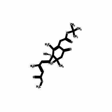 COC(=O)C=C(C)C=C[C@@]1(O)C(C)=C(CC(=O)OC(C)(C)C)C(=O)CC1(C)C